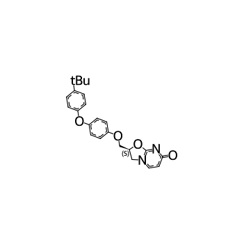 CC(C)(C)c1ccc(Oc2ccc(OC[C@@H]3Cn4ccc(=O)nc4O3)cc2)cc1